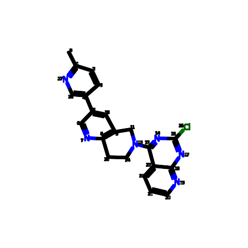 Cc1ccc(-c2cnc3c(c2)CN(c2nc(Cl)nc4ncccc24)CC3)cn1